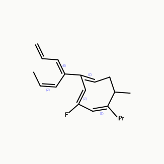 C=C/C=C(\C=C/C)C1=C\CC(C)/C(C(C)C)=C\C(F)=C\1